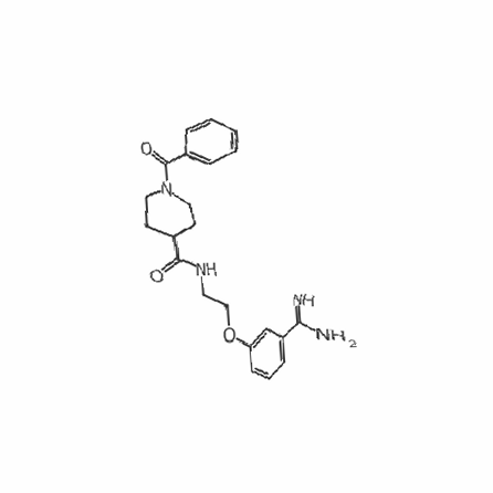 N=C(N)c1cccc(OCCNC(=O)C2CCN(C(=O)c3ccccc3)CC2)c1